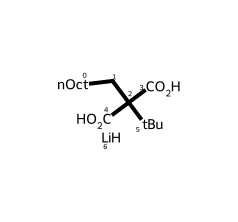 CCCCCCCCCC(C(=O)O)(C(=O)O)C(C)(C)C.[LiH]